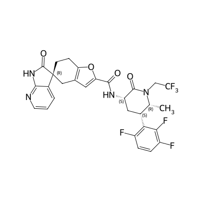 C[C@@H]1[C@H](c2c(F)ccc(F)c2F)C[C@H](NC(=O)c2cc3c(o2)CC[C@]2(C3)C(=O)Nc3ncccc32)C(=O)N1CC(F)(F)F